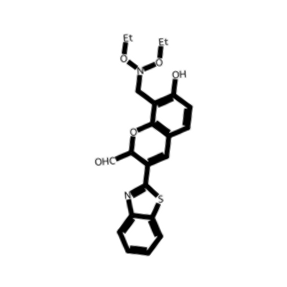 CCON(Cc1c(O)ccc2c1OC(C=O)C(c1nc3ccccc3s1)=C2)OCC